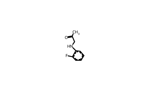 CC(=O)CNc1ccccc1F